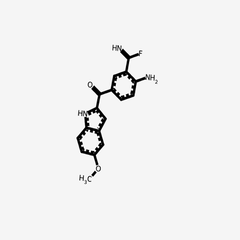 COc1ccc2[nH]c(C(=O)c3ccc(N)c(C(=N)F)c3)cc2c1